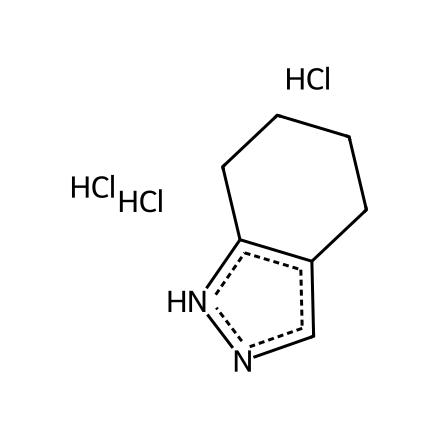 Cl.Cl.Cl.c1n[nH]c2c1CCCC2